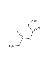 NCC(=O)Oc1nccs1